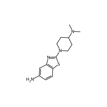 CN(C)C1CCN(c2nc3cc(N)ccc3s2)CC1